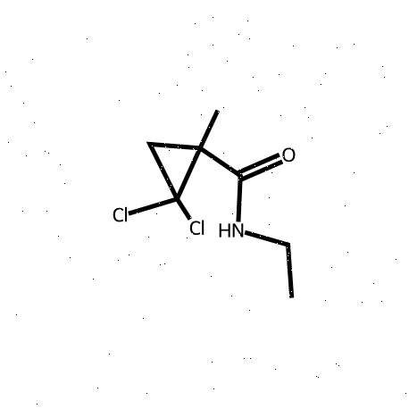 CCNC(=O)C1(C)CC1(Cl)Cl